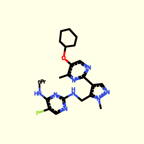 CCCNc1nc(NCc2c(-c3ncc(OC4CCCCC4)c(C)n3)cnn2C)ncc1F